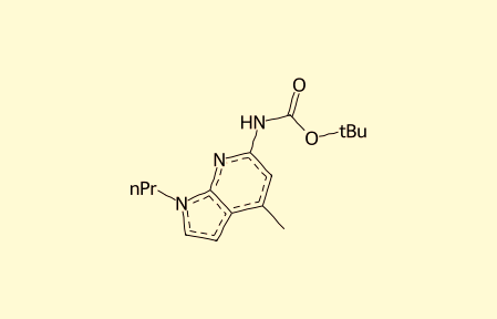 CCCn1ccc2c(C)cc(NC(=O)OC(C)(C)C)nc21